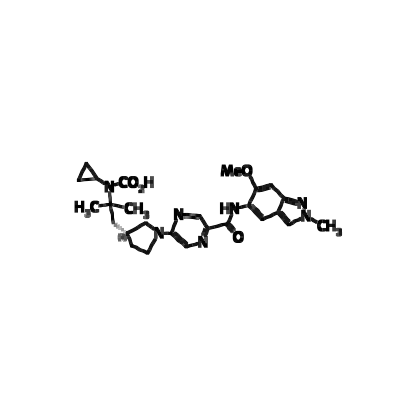 COc1cc2nn(C)cc2cc1NC(=O)c1cnc(N2CC[C@H](CC(C)(C)N(C(=O)O)C3CC3)C2)cn1